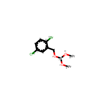 CC(C)OB(OCc1cc(Cl)ccc1Br)OC(C)C